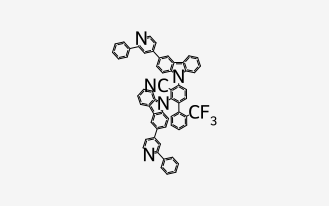 N#Cc1c(-n2c3ccccc3c3cc(-c4ccnc(-c5ccccc5)c4)ccc32)ccc(-c2ccccc2C(F)(F)F)c1-n1c2ccccc2c2cc(-c3ccnc(-c4ccccc4)c3)ccc21